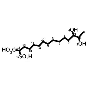 CC(O)C(O)CCCCCCCCCCC(C(=O)O)S(=O)(=O)O